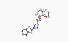 c1ccc2c(c1)CC(NCCCOc1cccc3c1OCCC3)C2